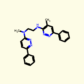 Cc1cc(-c2ccccc2)nnc1NCCN(C)c1ccc(-c2ccccc2)nn1